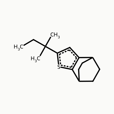 CCC(C)(C)c1cc2c(s1)C1CCC2CC1